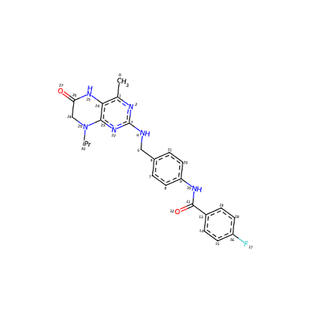 Cc1nc(NCc2ccc(NC(=O)c3ccc(F)cc3)cc2)nc2c1NC(=O)CN2C(C)C